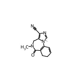 CN1CC2=C(C#N)N=C[N+]2C2=C(CCC=C2)C1=O